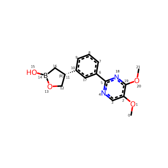 COc1cnc(-c2cccc([C@@H]3COB(O)C3)c2)nc1OC